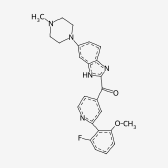 COc1cccc(F)c1-c1cc(C(=O)c2nc3ccc(N4CCN(C)CC4)cc3[nH]2)ccn1